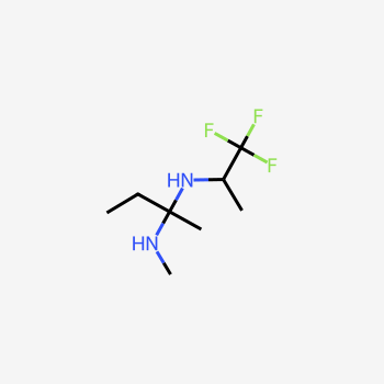 CCC(C)(NC)NC(C)C(F)(F)F